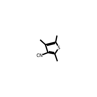 [C-]#[N+]c1c(C)sc(C)c1C